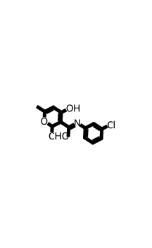 CC1=CC(O)=C(C(C)=Nc2cccc(Cl)c2)C(C=O)O1